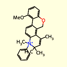 COc1cccc2c1-c1ccc3c(c1CO2)C(C)=CC(C)(C)[N+]3(C)c1ccccc1